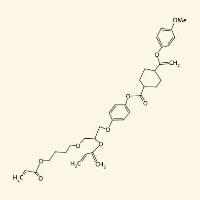 C=CC(=C)OC(COCCCCOC(=O)C=C)COc1ccc(OC(=O)C2CCC(C(=C)Oc3ccc(OC)cc3)CC2)cc1